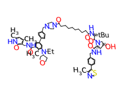 CCN(c1cc(-c2ccc(CN3CCN(C(=O)CCCCCCCCC(=O)N[C@H](C(=O)N4C[C@H](O)C[C@H]4C(=O)NCc4ccc(-c5scnc5C)cc4)C(C)(C)C)CC3)cc2)cc(C(=O)NCc2c(C)cc(C)[nH]c2=O)c1C)C1CCOCC1